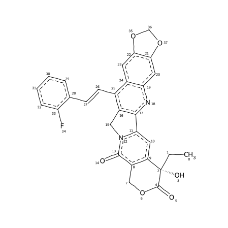 CC[C@@]1(O)C(=O)OCc2c1cc1n(c2=O)Cc2c-1nc1cc3c(cc1c2/C=C/c1ccccc1F)OCO3